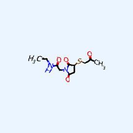 CCNC(=O)CN1C(=O)CC(SCC(C)=O)C1=O